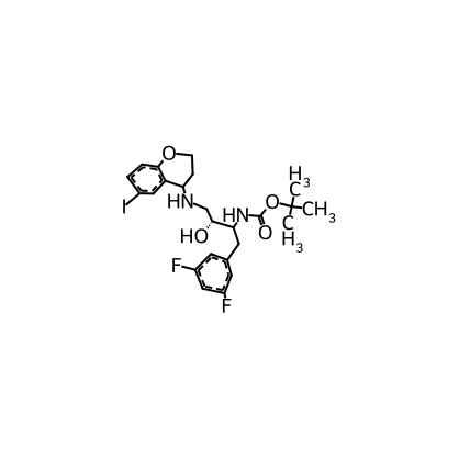 CC(C)(C)OC(=O)NC(Cc1cc(F)cc(F)c1)[C@H](O)CNC1CCOc2ccc(I)cc21